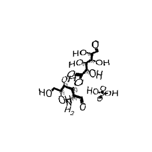 N[C@@H](C=O)[C@@H](OC(=O)[C@@H](O)[C@@H](O)[C@H](O)[C@@H](O)C=O)[C@@H](O)[C@H](O)CO.O=S(=O)(O)O